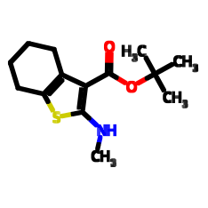 CNc1sc2c(c1C(=O)OC(C)(C)C)CCCC2